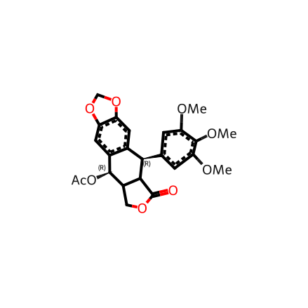 COc1cc([C@@H]2c3cc4c(cc3[C@H](OC(C)=O)C3COC(=O)C32)OCO4)cc(OC)c1OC